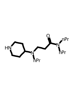 CCCN(CCC)C(=O)CCN(CCC)C1CCNCC1